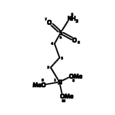 CO[Si](CCCS(N)(=O)=O)(OC)OC